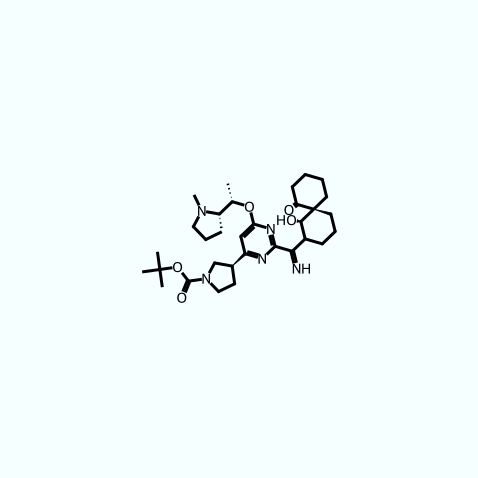 C[C@H](Oc1cc([C@H]2CCN(C(=O)OC(C)(C)C)C2)nc(C(=N)C2CCC[C@@]3(CCCCC3=O)[C@@H]2O)n1)[C@@H]1CCCN1C